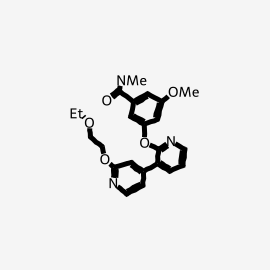 CCOCCOc1cc(-c2cccnc2Oc2cc(OC)cc(C(=O)NC)c2)ccn1